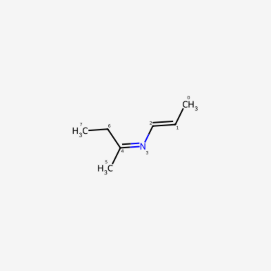 C/C=C/N=C(/C)CC